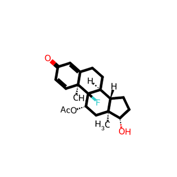 CC(=O)O[C@H]1C[C@]2(C)[C@@H](O)CC[C@H]2[C@@H]2CCC3=CC(=O)C=C[C@]3(C)C12F